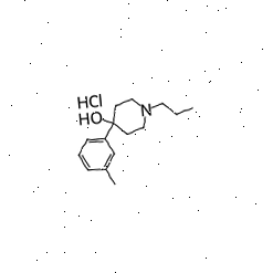 CCCN1CCC(O)(c2cccc(C)c2)CC1.Cl